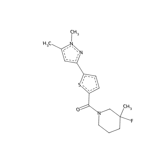 Cc1cc(-c2ccc(C(=O)N3CCCC(C)(F)C3)s2)nn1C